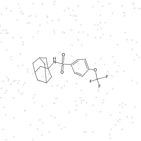 O=S(=O)(NC12CC3CC(CC(C3)C1)C2)c1ccc(OC(F)(F)F)cc1